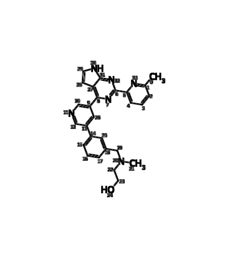 Cc1cccc(-c2nc(-c3cncc(-c4cccc(CN(C)CCO)c4)c3)c3cc[nH]c3n2)n1